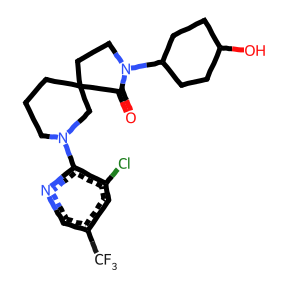 O=C1N(C2CCC(O)CC2)CCC12CCCN(c1ncc(C(F)(F)F)cc1Cl)C2